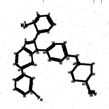 Nc1ncccc1-c1nc2ccc(-c3cccc(F)c3)nc2n1-c1ccc(CN2CCC(N)CC2)cc1